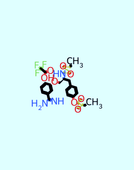 CCS(=O)(=O)N[C@H](COc1cccc(C(=N)N)c1)Cc1ccc(OS(=O)(=O)CC)cc1.O=C(O)C(F)(F)F